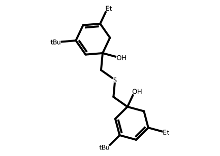 CCC1=CC(C(C)(C)C)=CC(O)(CSCC2(O)C=C(C(C)(C)C)C=C(CC)C2)C1